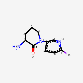 NC1CCCN(c2ccc(I)nc2)C1=O